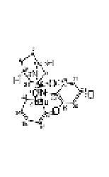 CC(C)(C)OC(=O)N1[C@@H]2CC[C@H]1C[C@H](N1c3ccccc3Oc3cc(Cl)ccc31)C2